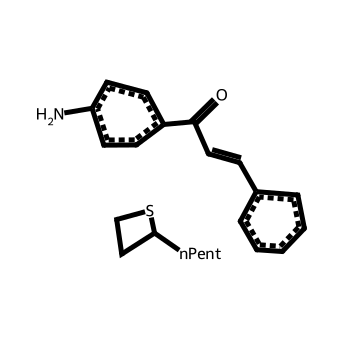 CCCCCC1CCS1.Nc1ccc(C(=O)C=Cc2ccccc2)cc1